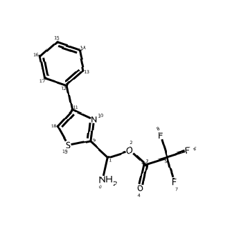 NC(OC(=O)C(F)(F)F)c1nc(-c2ccccc2)cs1